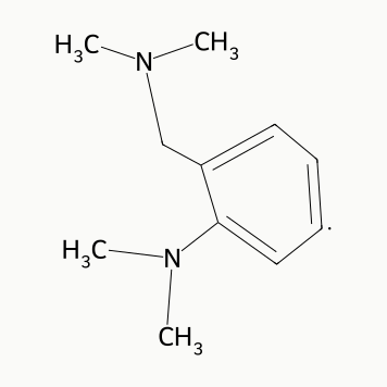 CN(C)Cc1cc[c]cc1N(C)C